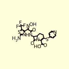 Nc1nc(/C(=N/O)C(=O)NC2C(=O)N3C(C(=O)O)=C(Sc4ccncc4)CCC23)c(C(F)(F)F)s1